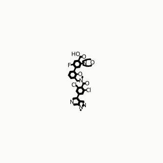 Cn1ncc2c(-c3cc(Cl)c(C(=O)N4COc5c(cccc5-c5cc(N6C7CCC6COC7)c(C(=O)O)cc5F)C4)c(Cl)c3)cncc21